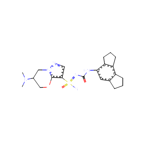 CN(C)C1COc2c(S(N)(=O)=NC(=O)Nc3cc4c(c5c3CCC5)CCC4)cnn2C1